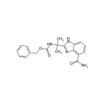 CC(C)(NC(=O)OCc1ccccc1)c1nc2c(C(N)=O)cccc2[nH]1